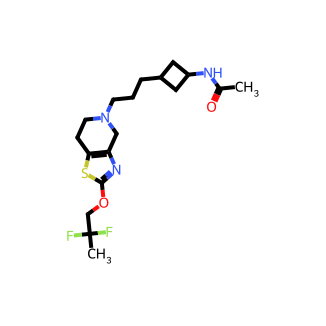 CC(=O)NC1CC(CCCN2CCc3sc(OCC(C)(F)F)nc3C2)C1